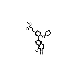 COC(=O)CCc1ccc(OC2CCCC2)c(-c2ccc3c(=O)[nH]ccc3c2)c1